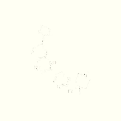 CN1CCC(C)(Nc2ncc(C(=O)Nc3cc(-c4cccs4)ccc3N)cn2)CC1